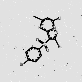 CCc1nn2c(Cl)cc(C)nc2c1S(=O)(=O)c1ccc(Br)cc1